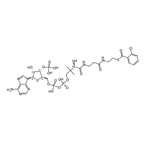 CC(C)(COP(=O)(O)OP(=O)(O)OC[C@H]1O[C@@H](n2cnc3c(N)ncnc32)[C@H](O)[C@@H]1OP(=O)(O)O)[C@@H](O)C(=O)NCCC(=O)NCCSC(=O)c1ccccc1Cl